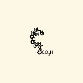 Cc1nc(C(=O)Nc2cccc(-c3cccc(NC(=O)c4nc(C)c(CN5CCCC[C@H]5C(=O)O)s4)c3C)c2C)sc1CN1CCCCC1